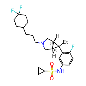 CCC1(c2cc(NS(=O)(=O)C3CC3)ccc2F)[C@@H]2CN(CCCC3CCC(F)(F)CC3)C[C@@H]21